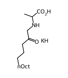 CCCCCCCCCCCC(=O)CNC(C)C(=O)O.[KH]